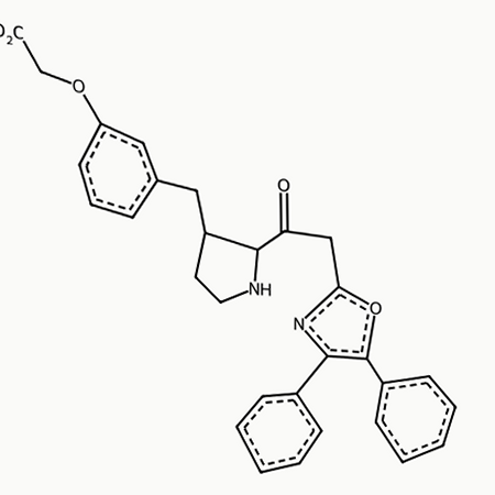 O=C(O)COc1cccc(CC2CCNC2C(=O)Cc2nc(-c3ccccc3)c(-c3ccccc3)o2)c1